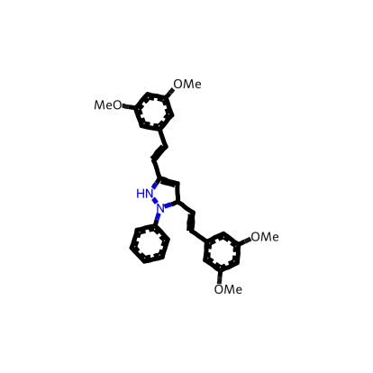 COc1cc(C=CC2=CC(C=Cc3cc(OC)cc(OC)c3)N(c3ccccc3)N2)cc(OC)c1